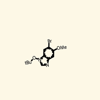 COc1cc2ncn(OC(C)(C)C)c2cc1Br